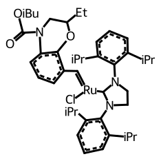 CCC1CN(C(=O)OCC(C)C)c2cccc([CH]=[Ru]([Cl])[CH]3N(c4c(C(C)C)cccc4C(C)C)CCN3c3c(C(C)C)cccc3C(C)C)c2O1